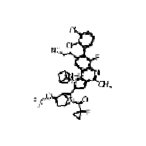 Cc1nc2c(F)c(-c3cccc(Cl)c3Cl)c(CCC#N)cc2c2c1cc(C1C3CC(CC3OC(F)(F)F)N1C(=O)C1(F)CC1)n2C1C2CNC1C2